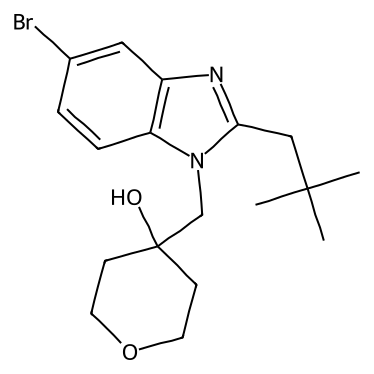 CC(C)(C)Cc1nc2cc(Br)ccc2n1CC1(O)CCOCC1